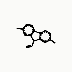 C=CC1c2cc(C)ccc2-c2ccc(C)cc21